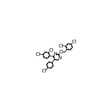 Clc1ccc(-c2cnc(OCc3ccc(Cl)cc3Cl)nc2-c2ccc(Cl)cc2Cl)cc1